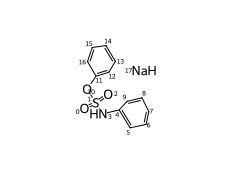 O=S(=O)(Nc1ccccc1)Oc1ccccc1.[NaH]